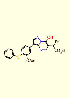 CCOC(=O)C(CC)c1cnc2c(-c3ccc(Sc4ccccc4)c(OC)c3)cnn2c1O